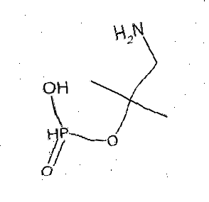 CC(C)(CN)O[PH](=O)O